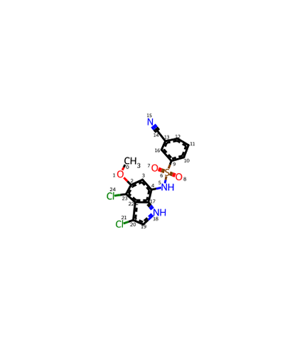 COc1cc(NS(=O)(=O)c2cccc(C#N)c2)c2[nH]cc(Cl)c2c1Cl